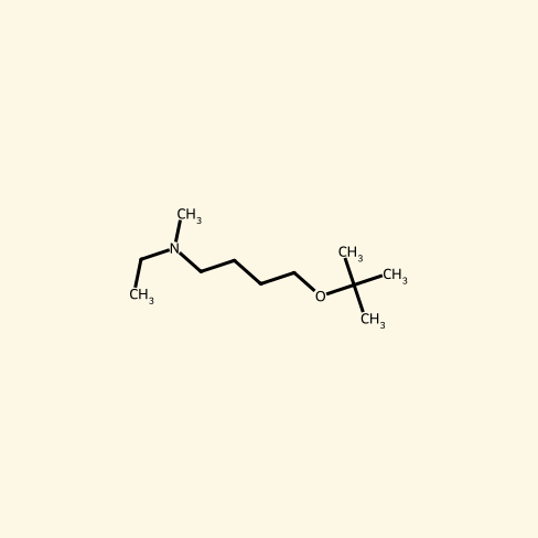 CCN(C)CCCCOC(C)(C)C